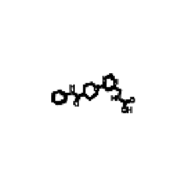 O=C(O)NCc1cc(N2CCC(C(=O)Nc3ccccc3)CC2)ncn1